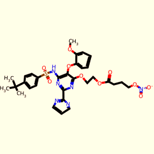 COc1ccccc1Oc1c(NS(=O)(=O)c2ccc(C(C)(C)C)cc2)nc(-c2ncccn2)nc1OCCOC(=O)CCCO[N+](=O)[O-]